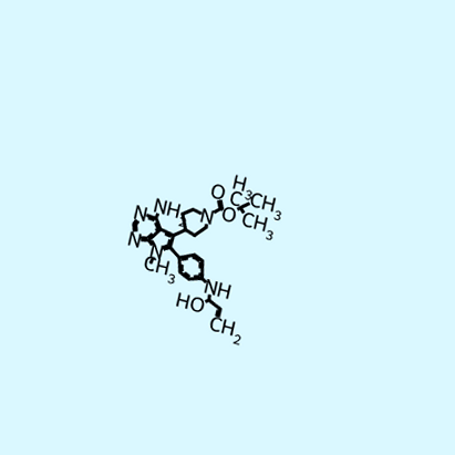 C=CC(O)Nc1ccc(-c2c(C3CCN(C(=O)OC(C)(C)C)CC3)c3c(N)ncnc3n2C)cc1